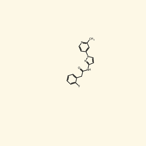 Cc1cc(-n2ccc(NC(=O)Cc3ccccc3F)n2)ccn1